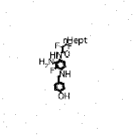 CCCCCCC[C@@H](F)[C@@H](F)C(=O)Nc1ccc(NCc2ccc(O)cc2)c(F)c1N